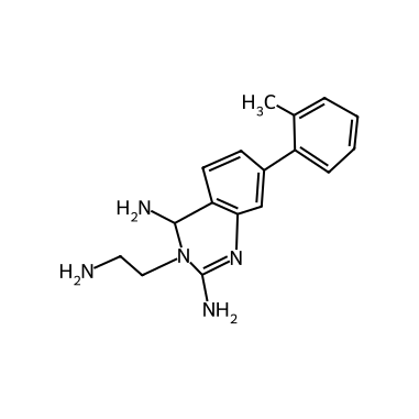 Cc1ccccc1-c1ccc2c(c1)N=C(N)N(CCN)C2N